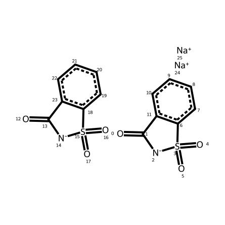 O=C1[N-]S(=O)(=O)c2ccccc21.O=C1[N-]S(=O)(=O)c2ccccc21.[Na+].[Na+]